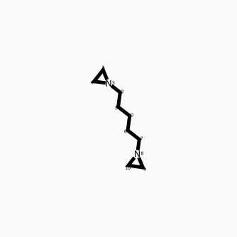 C(CCN1CC1)CCN1CC1